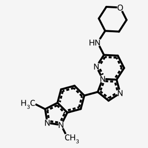 Cc1nn(C)c2cc(-c3cnc4ccc(NC5CCOCC5)nn34)ccc12